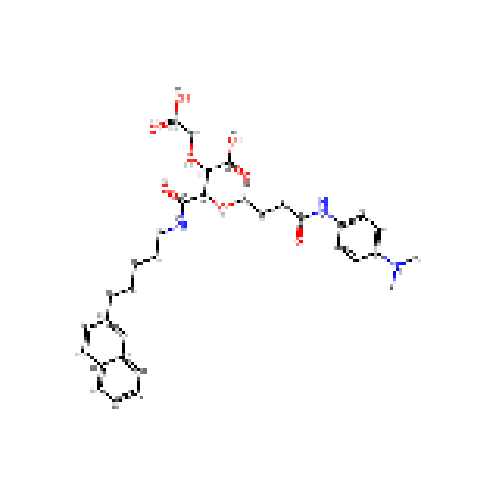 CN(C)c1ccc(NC(=O)CCCOC(C(=O)NCCCCCc2ccc3ccccc3c2)C(OCC(=O)O)C(=O)O)cc1